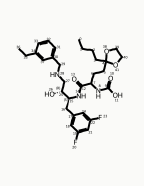 CCCCC1(CCC(NC(=O)O)C(=O)N[C@@H](Cc2cc(F)cc(F)c2)[C@H](O)CNCc2cccc(CC)c2)OCCO1